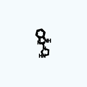 c1ccc2[nH]c(N3CCNC3)nc2c1